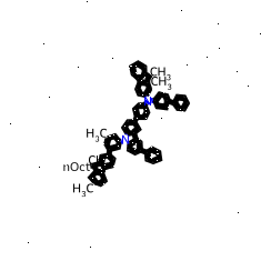 CCCCCCCCC1(C)c2cc(C)ccc2-c2ccc(C3=CC(n4c5ccc(-c6ccccc6)cc5c5cc(-c6ccc(N(c7ccc(-c8ccccc8)cc7)c7ccc8c(c7)C(C)(C)C7C=CC=CC87)cc6)ccc54)CC(C)=C3)cc21